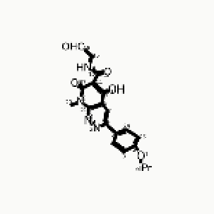 CC(C)Oc1ccc(-c2cc3c(O)c(C(=O)NCC=O)c(=O)n(C)c3nn2)cc1